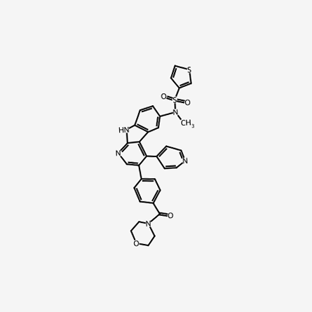 CN(c1ccc2[nH]c3ncc(-c4ccc(C(=O)N5CCOCC5)cc4)c(-c4ccncc4)c3c2c1)S(=O)(=O)c1ccsc1